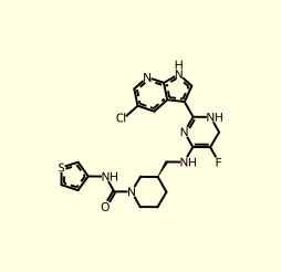 O=C(Nc1ccsc1)N1CCC[C@H](CNC2=C(F)CNC(c3c[nH]c4ncc(Cl)cc34)=N2)C1